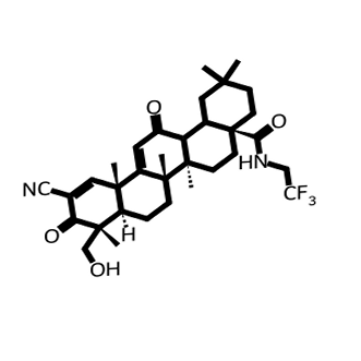 CC1(C)CC[C@]2(C(=O)NCC(F)(F)F)CC[C@]3(C)C(C(=O)C=C4[C@@]5(C)C=C(C#N)C(=O)[C@@](C)(CO)[C@@H]5CC[C@]43C)C2C1